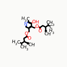 C#CC(CC(=O)OCc1cnc(C)c(O)c1COC(=O)CC(C#C)C(C)C)C(C)C